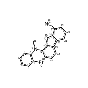 CCc1ccccc1N(I)c1cccc2c1oc1c(C#N)cccc12